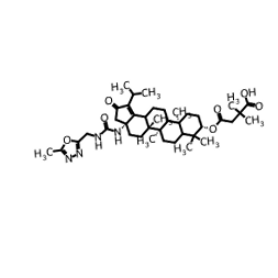 Cc1nnc(CNC(=O)N[C@@]23CC[C@]4(C)C(CCC5[C@@]6(C)CC[C@H](OC(=O)CC(C)(C)C(=O)O)C(C)(C)C6CC[C@]54C)C2=C(C(C)C)C(=O)C3)o1